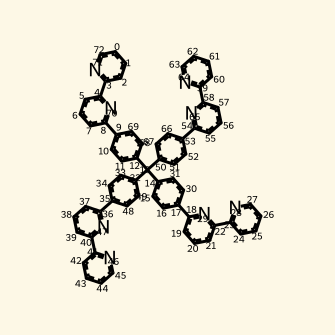 c1ccc(-c2cccc(-c3ccc(C(c4ccc(-c5cccc(-c6ccccn6)n5)cc4)(c4ccc(-c5cccc(-c6ccccn6)n5)cc4)c4ccc(-c5cccc(-c6ccccn6)n5)cc4)cc3)n2)nc1